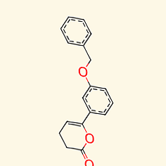 O=C1CCC=C(c2cccc(OCc3ccccc3)c2)O1